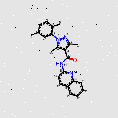 Cc1ccc(C)c(-n2nc(C)c(C(=O)Nc3ccc4ccccc4n3)c2C)c1